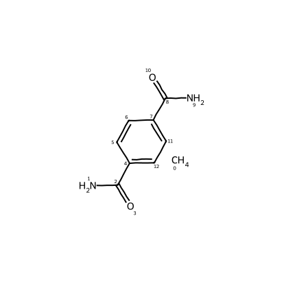 C.NC(=O)c1ccc(C(N)=O)cc1